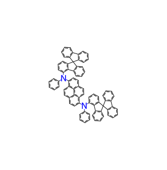 c1ccc(N(c2cccc3c2-c2ccccc2C32c3ccccc3-c3ccccc32)c2ccc3ccc4c(N(c5ccccc5)c5cccc6c5-c5ccccc5C65c6ccccc6-c6ccccc65)ccc5ccc2c3c54)cc1